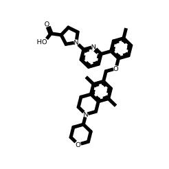 Cc1ccc(OCc2cc(C)c3c(c2C)CCN(C2CCOCC2)C3)c(-c2cccc(N3CCC(C(=O)O)C3)n2)c1